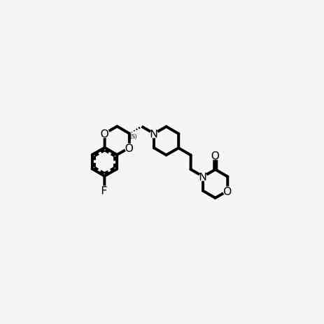 O=C1COCCN1CCC1CCN(C[C@H]2COc3ccc(F)cc3O2)CC1